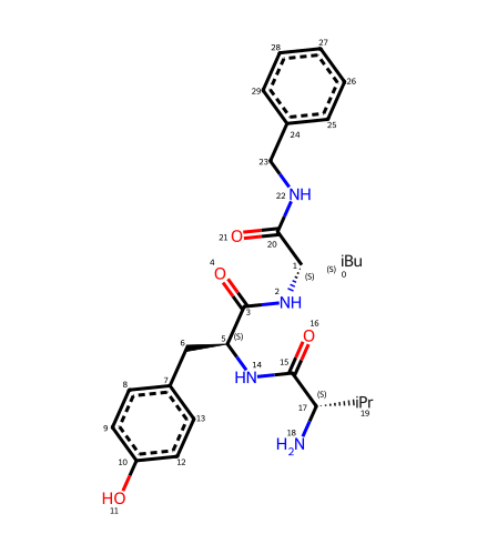 CC[C@H](C)[C@H](NC(=O)[C@H](Cc1ccc(O)cc1)NC(=O)[C@@H](N)C(C)C)C(=O)NCc1ccccc1